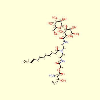 CCCCCCCC/C=C/CCCCCCCC(=O)N(CCNC(=O)COC(=O)[C@@H](N)[C@@H](C)O)CCNC(=O)C(O)C(O)C(O[C@@H]1OC(CO)[C@H](O)[C@H](O)C1O)C(O)CO